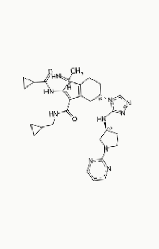 C[SH]1(=N)C2=C(C[C@@H](n3cnnc3N[C@H]3CCN(c4ncccn4)C3)CC2)C(C(=O)NCC2CC2)=C1NC(=O)C1CC1